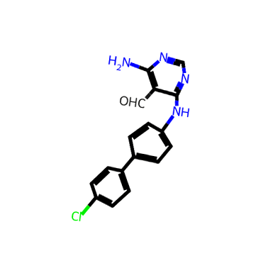 Nc1ncnc(Nc2ccc(-c3ccc(Cl)cc3)cc2)c1C=O